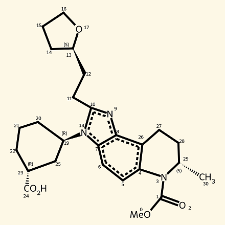 COC(=O)N1c2ccc3c(nc(CC[C@H]4CCCO4)n3[C@@H]3CCC[C@@H](C(=O)O)C3)c2CC[C@@H]1C